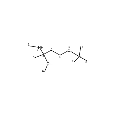 CNC(C)(CCOC(C)(C)C)OC